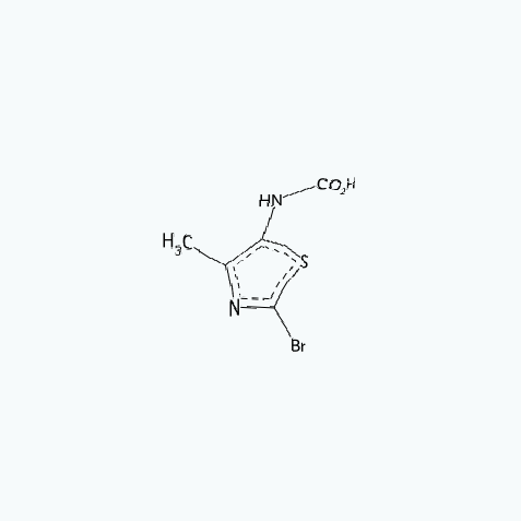 Cc1nc(Br)sc1NC(=O)O